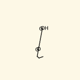 CCCCC/C=C\C/C=C\CCCCCCCC(=O)OCCCCCCCCCCCCCCCCCCCCCCCCC(=O)O